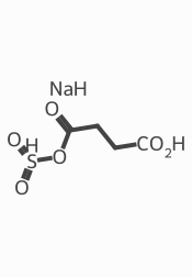 O=C(O)CCC(=O)O[SH](=O)=O.[NaH]